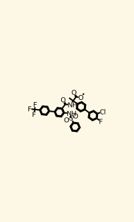 COC(=O)C(C)(NC(=O)c1cc(-c2ccc(C(F)(F)F)cc2)ccc1NS(=O)(=O)c1ccccc1)c1ccc(-c2ccc(F)c(Cl)c2)cc1